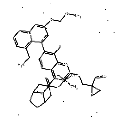 CCc1cccc2cc(OCOC)cc(-c3ccc4c(N5CC6CCC(C5)N6C(=O)OC(C)(C)C)nc(OCC5(C=O)CC5)nc4c3F)c12